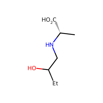 CCC(O)CN[C@@H](C)C(=O)O